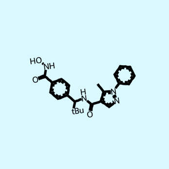 Cc1c(C(=O)NC(c2ccc(C(=O)NO)cc2)C(C)(C)C)cnn1-c1ccccc1